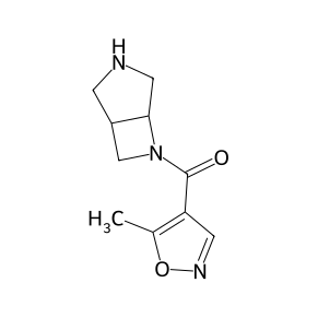 Cc1oncc1C(=O)N1CC2CNCC21